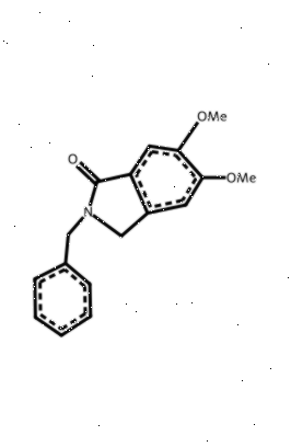 COc1cc2c(cc1OC)C(=O)N(Cc1ccccc1)C2